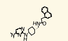 CN(C)c1ccnc(N[C@H]2CC[C@@H](CNC(=O)Cc3cccc4ccccc34)CC2)n1